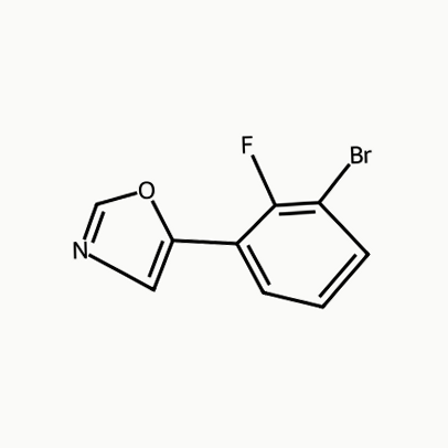 Fc1c(Br)cccc1-c1cnco1